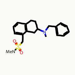 CNS(=O)(=O)Cc1cccc2c1CC(N(C)Cc1ccccc1)CC2